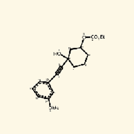 CCOC(=O)OC1CCCC(O)(C#Cc2cccc(OC)c2)C1